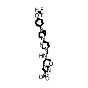 O=[N+]([O-])c1cn2c(n1)OC[C@@H](NCN1C=CC(N3CC4CC3CN4c3ccc(OC(F)(F)F)cc3)=NC1)C2